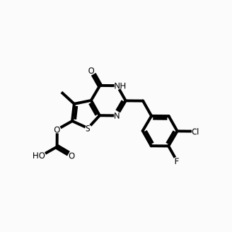 Cc1c(OC(=O)O)sc2nc(Cc3ccc(F)c(Cl)c3)[nH]c(=O)c12